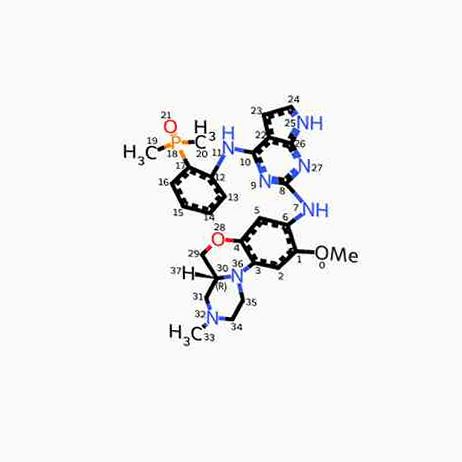 COc1cc2c(cc1Nc1nc(Nc3ccccc3P(C)(C)=O)c3cc[nH]c3n1)OC[C@H]1CN(C)CCN21